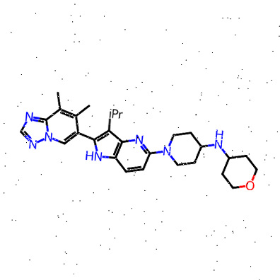 Cc1c(-c2[nH]c3ccc(N4CCC(NC5CCOCC5)CC4)nc3c2C(C)C)cn2ncnc2c1C